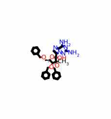 C[C@@]1(OCc2ccccc2)[C@H](OCc2ccccc2)[C@@H](COCc2ccccc2)O[C@@]1(O)c1cnc2c(N)nc(N)nn12